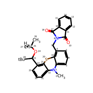 CN1c2cccc(CN3C(=O)c4ccccc4C3=O)c2Sc2c(C(O[SiH](C)C)C(C)(C)C)cccc21